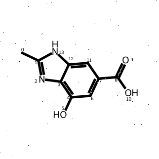 Cc1nc2c(O)cc(C(=O)O)cc2[nH]1